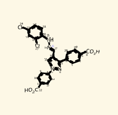 O=C(O)c1ccc(-c2nn(-c3ccc(C(=O)O)cc3)cc2/C=N/Nc2ccc(Cl)cc2Cl)cc1